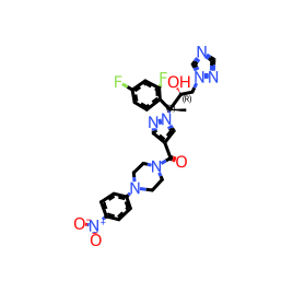 C[C@@](c1ccc(F)cc1F)([C@H](O)Cn1cncn1)n1cc(C(=O)N2CCN(c3ccc([N+](=O)[O-])cc3)CC2)cn1